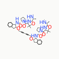 CN[C@@H](C)C(=O)N[C@H](C(=O)N1CCC[C@H]1C(=O)N[C@H]1c2ccccc2C[C@@H]1OCC#CC#CCO[C@H]1Cc2ccccc2[C@@H]1NC(=O)[C@@H]1CCCN1C(=O)[C@@H](NC(=O)[C@H](C)NC)C(C)(C)C)C(C)(C)C